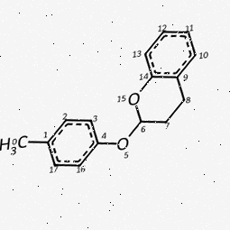 Cc1ccc(OC2CCc3ccccc3O2)cc1